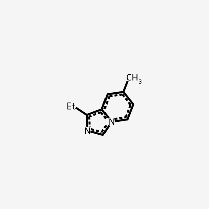 CCc1ncn2ccc(C)cc12